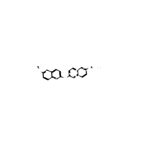 COc1ccc2cc(Sc3ccc4cc(OC)ccc4c3)ccc2c1